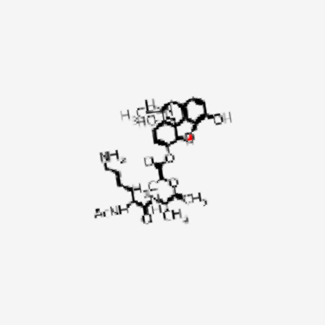 C=C(O[C@@H](C)C(=O)OC1=CC[C@@]2(O)[C@H]3Cc4ccc(O)c5c4[C@@]2(CCN3C)[C@H]1O5)[C@H](C)NC(=O)[C@H](CCCCN)NC(C)=O